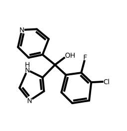 OC(c1ccncc1)(c1cnc[nH]1)c1cccc(Cl)c1F